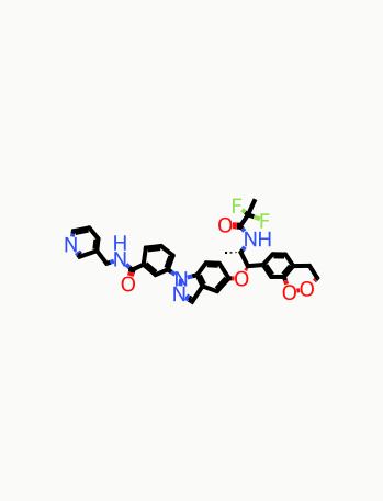 C[C@H](NC(=O)C(C)(F)F)[C@H](Oc1ccc2c(cnn2-c2cccc(C(=O)NCc3cccnc3)c2)c1)c1ccc2c(c1)OOCC2